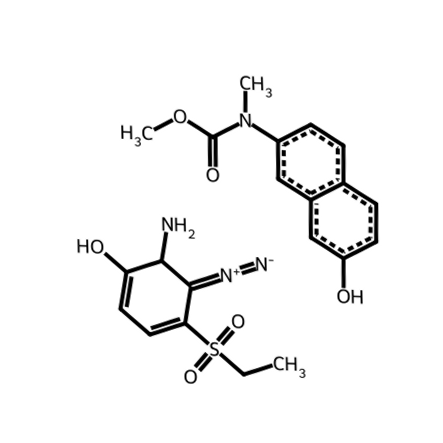 CCS(=O)(=O)C1=CC=C(O)C(N)C1=[N+]=[N-].COC(=O)N(C)c1ccc2ccc(O)cc2c1